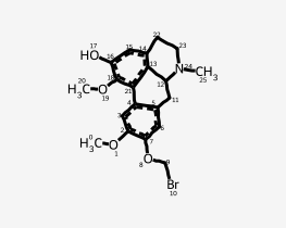 COc1cc2c(cc1OCBr)CC1c3c(cc(O)c(OC)c3-2)CCN1C